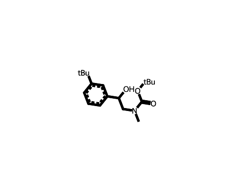 CN(CC(O)c1cccc(C(C)(C)C)c1)C(=O)OC(C)(C)C